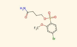 NC(=O)CCCOS(=O)(=O)c1ccc(Br)cc1OC(F)(F)F